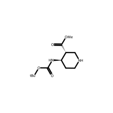 COC(=O)[C@@H]1CNCC[C@H]1NC(=O)OC(C)(C)C